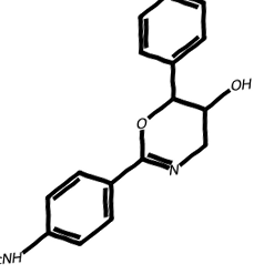 CC(=O)Nc1ccc(C2=NCC(O)C(c3ccccc3)O2)cc1